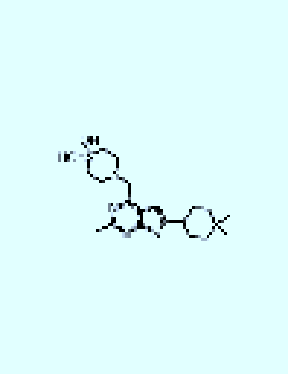 Cc1nc(CN2CCS(O)(O)CC2)c2cc(C3CCC(C)(C)CC3)sc2n1